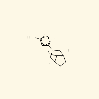 Cc1cc(N2C[C@H]3CC[C@@H](C2)[C@H]3NC(=O)O)sn1